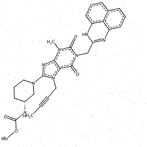 CC#CCn1c(N2CCC[C@@H](NC(=O)OC(C)(C)C)C2)nc2c1c(=O)n(CC1=Nc3cccc4cccc(c34)N1)c(=O)n2C